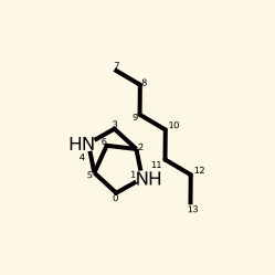 C1NC2CNC1C2.CCCCCCC